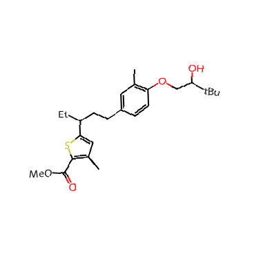 CCC(CCc1ccc(OCC(O)C(C)(C)C)c(C)c1)c1cc(C)c(C(=O)OC)s1